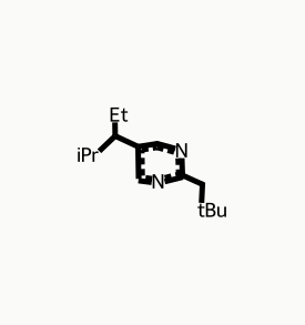 CCC(c1cnc(CC(C)(C)C)nc1)C(C)C